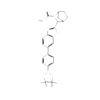 CC(C)(C)OC(=O)N1C2CCC(C2)C1c1nc2ccc(-c3ccc(B4OC(C)(C)C(C)(C)O4)cc3)cc2[nH]1